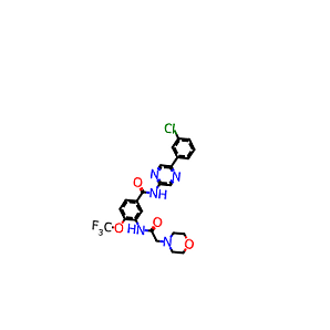 O=C(CN1CCOCC1)Nc1cc(C(=O)Nc2cnc(-c3cccc(Cl)c3)cn2)ccc1OC(F)(F)F